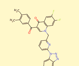 Cc1ccc(C(=O)c2cn(Cc3cccc(-n4nnc5ccccc54)n3)c3cc(F)c(F)cc3c2=O)cc1C